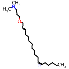 CCCCC/C=C\CCCCCCCCC=CCOCCCN(C)C